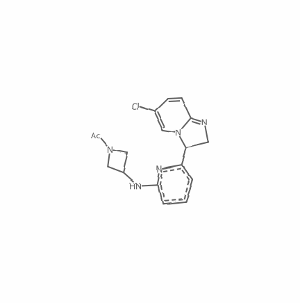 CC(=O)N1CC(Nc2cccc(C3CN=C4C=CC(Cl)=CN43)n2)C1